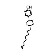 C=CCCCCCCC[C@H]1CC[C@H](c2ccc(C#N)cc2)CC1